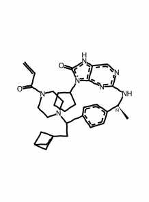 C=CC(=O)N1CCN(C(CC23CC(C2)C3)c2ccc([C@H](C)Nc3ncc4[nH]c(=O)n(C5CCCC5)c4n3)cc2)CC1